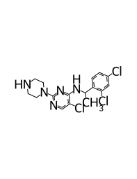 CC(Nc1nc(N2CCNCC2)ncc1Cl)c1ccc(Cl)cc1Cl